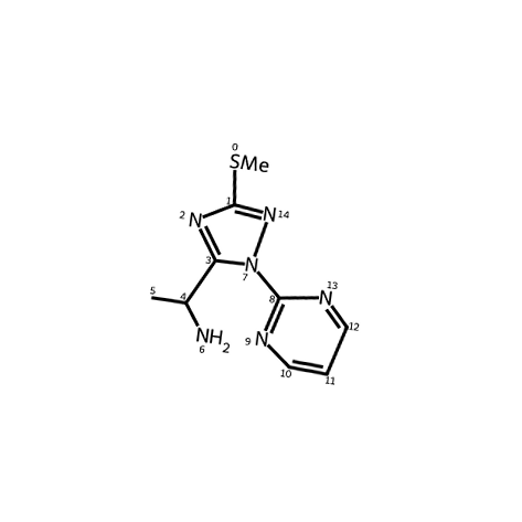 CSc1nc(C(C)N)n(-c2ncccn2)n1